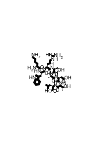 CC(C)C[C@H](NC(=O)[C@@H](NC(=O)[C@H](CC(=O)O)NC(=O)[C@H](C)NC(=O)[C@H](CO)NC(=O)[C@H](CCCNC(=N)N)NC(=O)[C@H](Cc1c[nH]c2ccccc12)NC(=O)[C@@H](N)CCCCN)[C@@H](C)O)C(=O)O